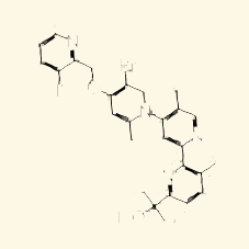 CC1=CC(OCc2ncccc2F)=C(Br)CN1c1cc(-c2nc(C(C)(C)O)ccc2C)ncc1C